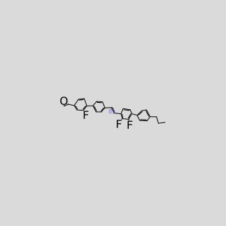 CCCc1ccc(-c2ccc(/C=C/c3ccc(-c4ccc(C5CO5)cc4F)cc3)c(F)c2F)cc1